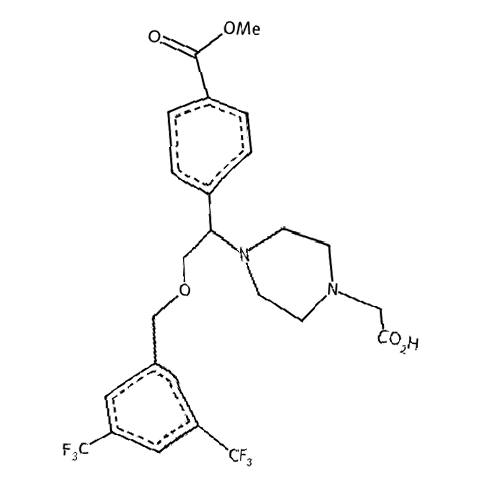 COC(=O)c1ccc(C(COCc2cc(C(F)(F)F)cc(C(F)(F)F)c2)N2CCN(CC(=O)O)CC2)cc1